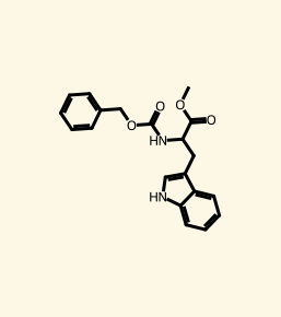 COC(=O)C(Cc1c[nH]c2ccccc12)NC(=O)OCc1ccccc1